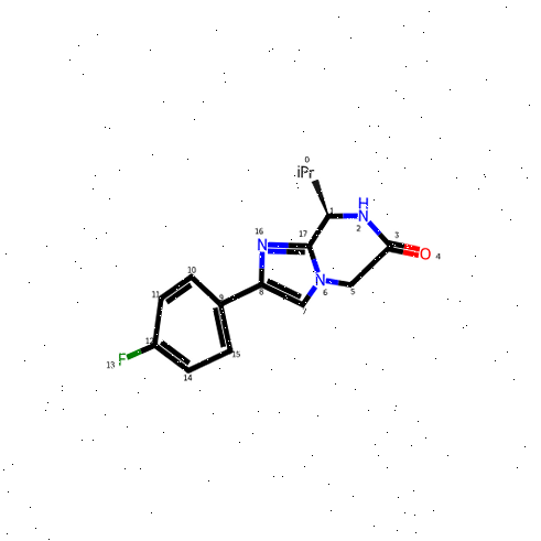 CC(C)[C@H]1NC(=O)Cn2cc(-c3ccc(F)cc3)nc21